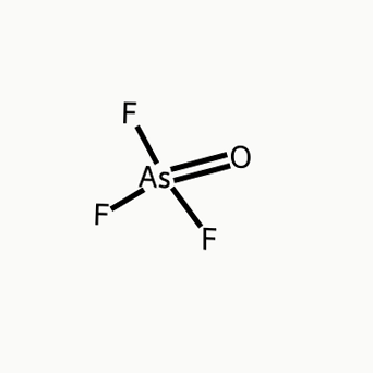 O=[As](F)(F)F